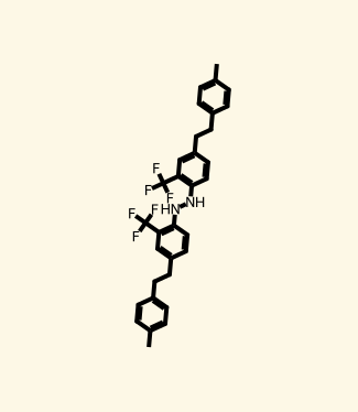 Cc1ccc(CCc2ccc(NNc3ccc(CCc4ccc(C)cc4)cc3C(F)(F)F)c(C(F)(F)F)c2)cc1